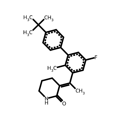 C/C(=C1/CCCNC1=O)c1cc(F)cc(-c2ccc(C(C)(C)C)cc2)c1C